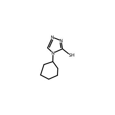 Sc1nncn1C1CCCCC1